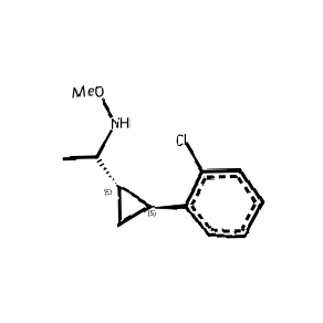 CONC(C)[C@H]1C[C@@H]1c1ccccc1Cl